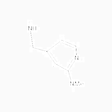 CNc1cc(C[NH])ccn1